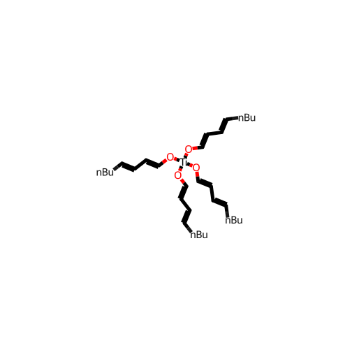 CCCC/C=C/C=C/[O][Ti]([O]/C=C/C=C/CCCC)([O]/C=C/C=C/CCCC)[O]/C=C/C=C/CCCC